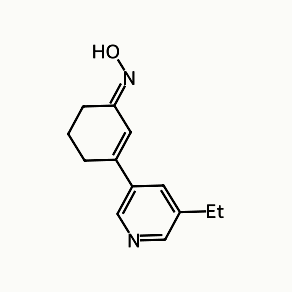 CCc1cncc(C2=C/C(=N/O)CCC2)c1